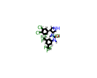 CN(C(=O)N(C)[C@H]1CNC[C@@H]1c1ccc(Cl)c(Cl)c1)c1cc(C(F)(F)F)cc(C(F)(F)F)c1.Cl